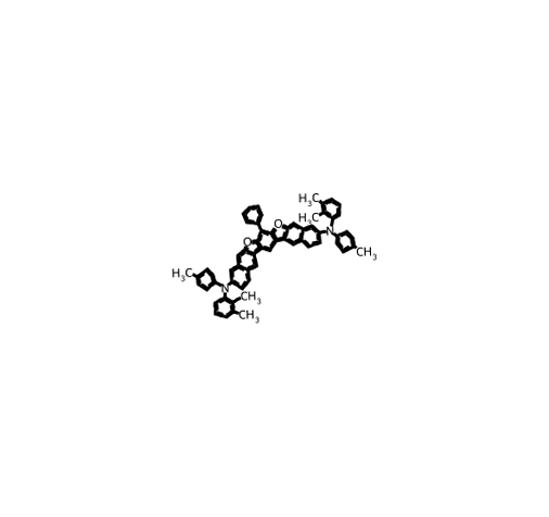 Cc1ccc(N(c2ccc3cc4c(cc3c2)oc2c(-c3ccccc3)c3oc5cc6cc(N(c7ccc(C)cc7)c7cccc(C)c7C)ccc6cc5c3cc24)c2cccc(C)c2C)cc1